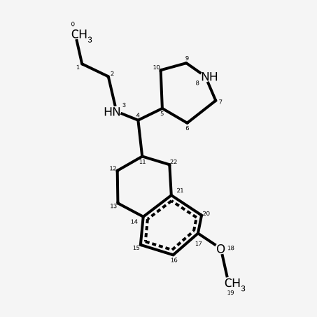 CCCNC(C1CCNCC1)C1CCc2ccc(OC)cc2C1